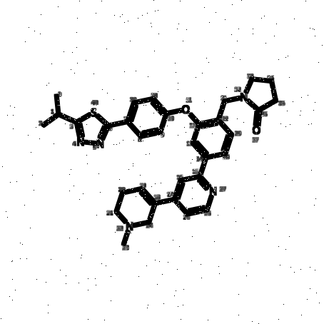 CC(C)c1nnc(-c2ccc(Oc3cc(-c4cc(C5=CCCN(C)C5)ccn4)ccc3CN3CCCC3=O)cc2)s1